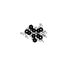 Cc1cc2c(cc1N1c3cc4sc5ccccc5c4cc3Bc3c(-c4cc5c(cc4Nc4ccc6c(c4)C(C)(C)CCC6(C)C)C(C)(C)CCC5(C)C)cc4c(oc5ccccc54)c31)C(C)(C)CCC2(C)C